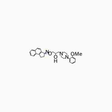 COc1ccccc1N1CCN(CC(O)CO/N=C2\CCc3c2ccc2ccccc32)CC1